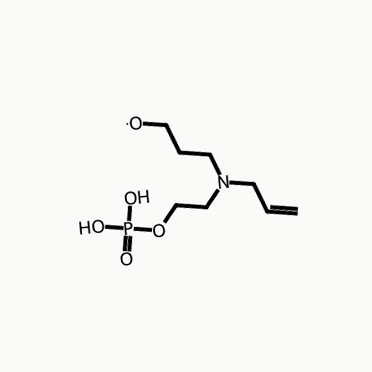 C=CCN(CCC[O])CCOP(=O)(O)O